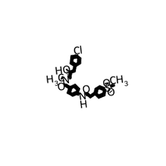 CCS(=O)(=O)c1ccc(CC(=O)Nc2ccc(C(=O)N(C)C[C@@H](O)Cc3ccc(Cl)cc3)cc2)cc1